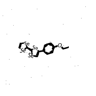 CCOc1ccc(C2=C[Se]C(=C3[Se]C=C[Se]3)[Se]2)cc1